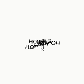 O=S(=O)(O)O.OCCONOCCO.[NaH]